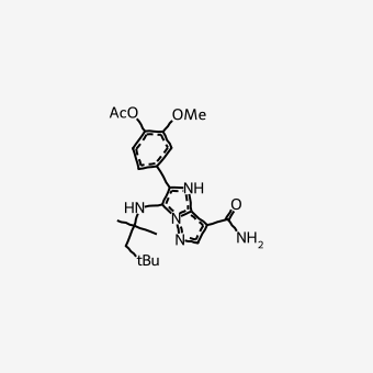 COc1cc(-c2[nH]c3c(C(N)=O)cnn3c2NC(C)(C)CC(C)(C)C)ccc1OC(C)=O